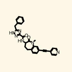 CN1C(=O)C(NC(=O)c2n[nH]c(Cc3ccccc3)n2)CCc2ccc(C#Cc3ccncc3)cc21